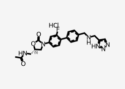 CC(=O)NC[C@H]1CN(c2ccc(-c3ccc(CNCc4cnn[nH]4)cc3)c(F)c2)C(=O)O1.Cl